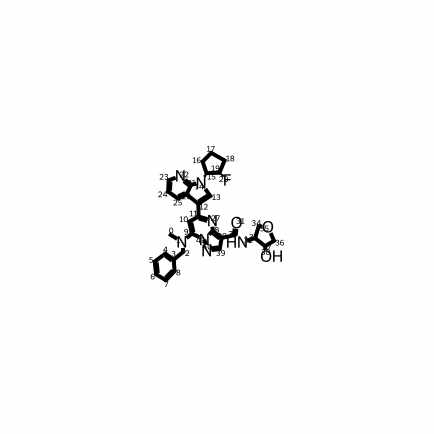 CN(Cc1ccccc1)c1cc(-c2cn([C@H]3CCC[C@H]3F)c3ncccc23)nc2c(C(=O)NC3COCC3O)cnn12